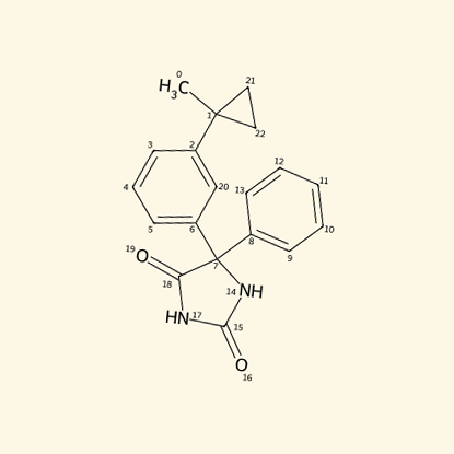 CC1(c2cccc(C3(c4ccccc4)NC(=O)NC3=O)c2)CC1